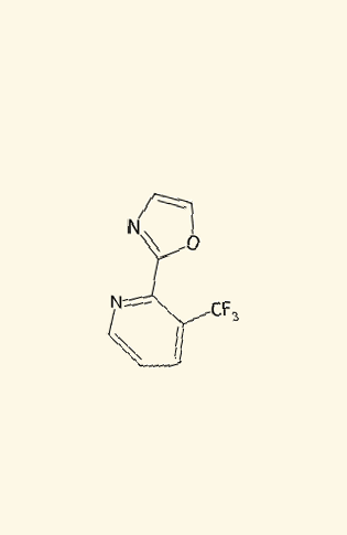 FC(F)(F)c1cccnc1-c1ncco1